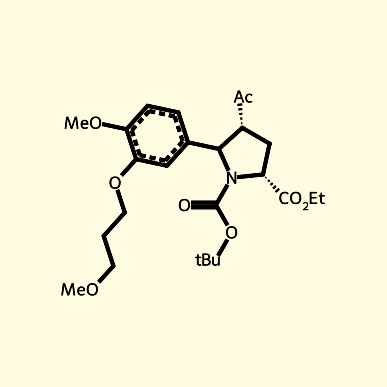 CCOC(=O)[C@H]1C[C@@H](C(C)=O)C(c2ccc(OC)c(OCCCOC)c2)N1C(=O)OC(C)(C)C